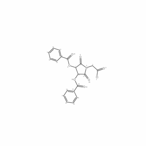 O=C(Cl)CN1C(=O)C(OC(=O)c2ccccc2)C(OC(=O)c2ccccc2)C1=O